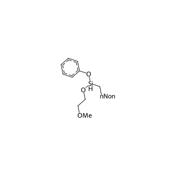 CCCCCCCCCC[SiH](OCCOC)Oc1ccccc1